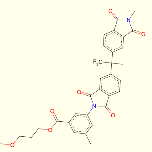 Cc1cc(C(=O)OCCCOC(C)C)cc(N2C(=O)c3ccc(C(C)(c4ccc5c(c4)C(=O)N(C)C5=O)C(F)(F)F)cc3C2=O)c1